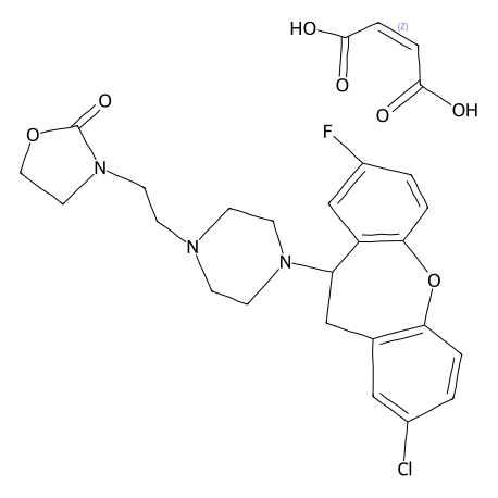 O=C(O)/C=C\C(=O)O.O=C1OCCN1CCN1CCN(C2Cc3cc(Cl)ccc3Oc3ccc(F)cc32)CC1